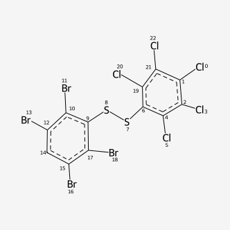 Clc1c(Cl)c(Cl)c(SSc2c(Br)c(Br)cc(Br)c2Br)c(Cl)c1Cl